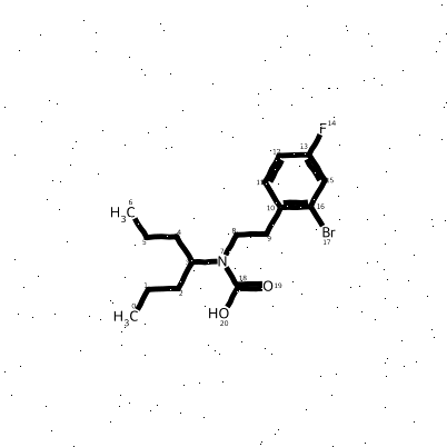 CCCC(CCC)N(CCc1ccc(F)cc1Br)C(=O)O